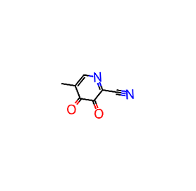 CC1=CN=C(C#N)C(=O)C1=O